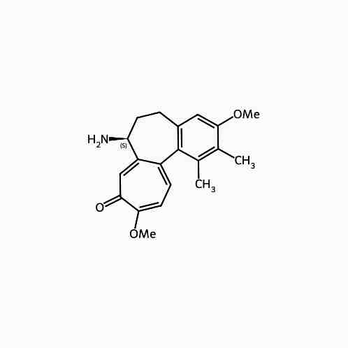 COc1cc2c(c(C)c1C)-c1ccc(OC)c(=O)cc1[C@@H](N)CC2